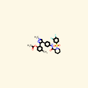 CC(=O)Oc1ccc(C)cc1-c1nn(C)cc1-c1ccc(NC(=O)C2CCCCN2S(=O)(=O)c2ccc(F)c(F)c2)cc1